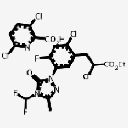 CCOC(=O)C(Cl)Cc1cc(-n2nc(C)n(C(F)F)c2=O)c(F)cc1Cl.O=C(O)c1nc(Cl)ccc1Cl